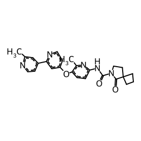 Cc1cc(-c2cc(Oc3ccc(NC(=O)N4CCC5(CCC5)C4=O)nc3C)ccn2)ccn1